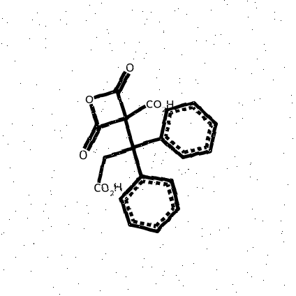 O=C(O)CC(c1ccccc1)(c1ccccc1)C1(C(=O)O)C(=O)OC1=O